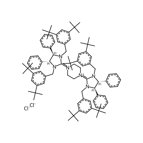 CC(C)(C)c1cc(CN2C(=[N+]3CC[N+](=C4N(Cc5cc(C(C)(C)C)cc(C(C)(C)C)c5)[C@H](c5ccccc5)[C@@H](c5ccccc5)N4Cc4cc(C(C)(C)C)cc(C(C)(C)C)c4)CC3)N(Cc3cc(C(C)(C)C)cc(C(C)(C)C)c3)[C@H](c3ccccc3)[C@H]2c2ccccc2)cc(C(C)(C)C)c1.[Cl-].[Cl-]